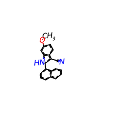 COc1ccc2c(C#N)c(-c3cccc4ccccc34)[nH]c2c1